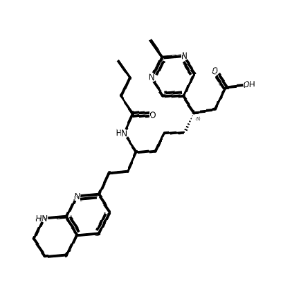 CCCC(=O)NC(CCC[C@@H](CC(=O)O)c1cnc(C)nc1)CCc1ccc2c(n1)NCCC2